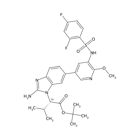 COc1ncc(-c2ccc3nc(N)n([C@H](C(=O)OC(C)(C)C)C(C)C)c3c2)cc1NS(=O)(=O)c1ccc(F)cc1F